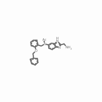 CC(=O)N(Cc1ccccc1OCc1ccccc1)c1ccc2nc(CN)[nH]c2c1